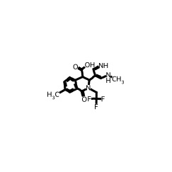 CN/C=C(\C=N)C1C(C(=O)O)c2ccc(C)cc2C(=O)N1CC(F)(F)F